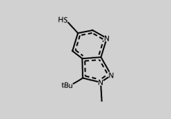 Cn1nc2ncc(S)cc2c1C(C)(C)C